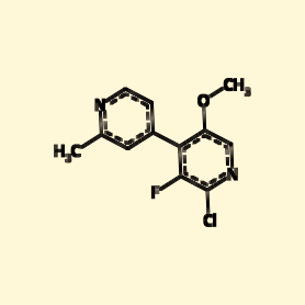 COc1cnc(Cl)c(F)c1-c1ccnc(C)c1